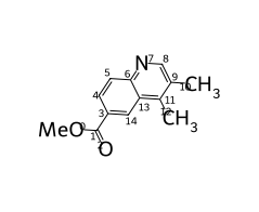 COC(=O)c1ccc2ncc(C)c(C)c2c1